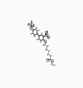 CCOC(=O)CCCCCCOc1ccc(-c2ccc(OC(F)(F)F)cc2)cc1[N+](=O)[O-]